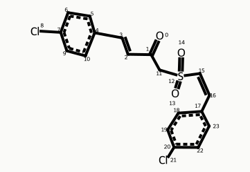 O=C(/C=C/c1ccc(Cl)cc1)CS(=O)(=O)/C=C\c1ccc(Cl)cc1